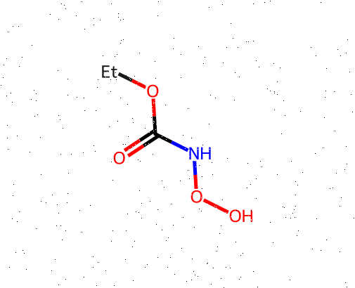 CCOC(=O)NOO